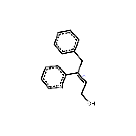 OC/C=C(/Cc1ccccc1)c1ccccn1